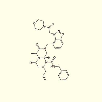 C=CCN1CC(=O)N2[C@@H](C)C(=O)N(Cc3cccc4nnn(CC(=O)N5CCOCC5)c34)C[C@@H]2N1C(=O)NCc1ccccc1